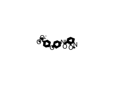 O=C(Nc1ccc(Oc2ccc([N+](=O)[O-])cc2)cc1)c1cccc2ncoc12